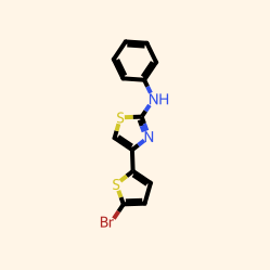 Brc1ccc(-c2csc(Nc3ccccc3)n2)s1